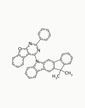 CC1(C)c2ccccc2-c2cc3c(cc21)c1ccccc1n3-c1nc(-c2ccccc2)nc2oc3ccccc3c12